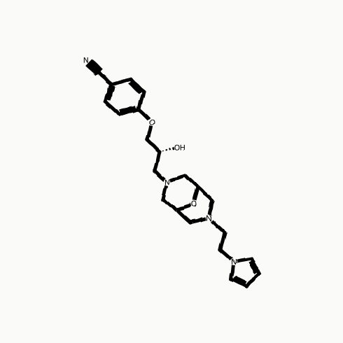 N#Cc1ccc(OC[C@H](O)CN2CC3CN(CCn4cccc4)CC(C2)O3)cc1